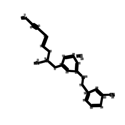 CCCN(CC=CC#CC(C)(C)C)Cc1cccc(OCc2cccc(C#N)c2)c1.Cl